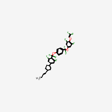 CC/C=C/C1CCC(c2cc(F)c(C(F)(F)Oc3ccc(C(F)(F)Oc4cc(F)c(OC=C(F)F)c(F)c4)cc3)c(F)c2)CC1